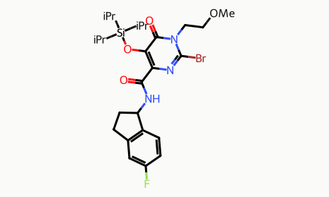 COCCn1c(Br)nc(C(=O)NC2CCc3cc(F)ccc32)c(O[Si](C(C)C)(C(C)C)C(C)C)c1=O